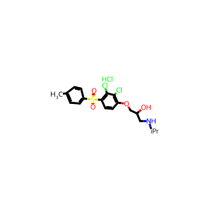 Cc1ccc(S(=O)(=O)c2ccc(OCC(O)CNC(C)C)c(Cl)c2Cl)cc1.Cl